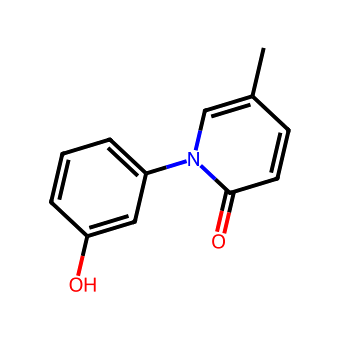 Cc1ccc(=O)n(-c2cccc(O)c2)c1